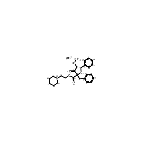 COCC(=O)C(Cc1ccccc1)(OCc1ccccc1)C(=O)OCCN1CCCCC1.Cl